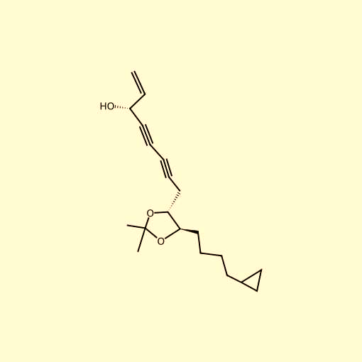 C=C[C@@H](O)C#CC#CC[C@H]1OC(C)(C)O[C@@H]1CCCCC1CC1